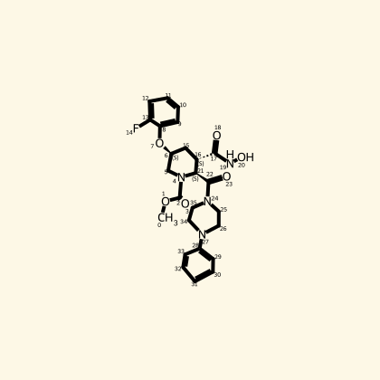 COC(=O)N1C[C@@H](Oc2ccccc2F)C[C@H](C(=O)NO)[C@H]1C(=O)N1CCN(c2ccccc2)CC1